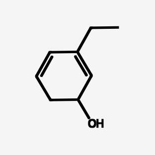 CCC1=CC(O)CC=C1